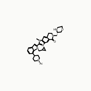 CC(=O)N1CCC(c2cccc3cc(-c4nc5cc6c(cc5n4C)CCN(C[C@H]4COCCN4)C6=O)n(CC4CC4)c23)CC1